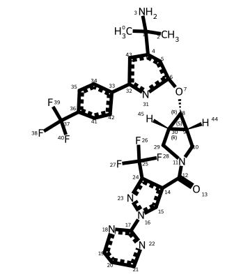 CC(C)(N)c1cc(O[C@@H]2[C@@H]3CN(C(=O)c4cn(-c5ncccn5)nc4C(F)(F)F)C[C@@H]32)nc(-c2ccc(C(F)(F)F)cc2)c1